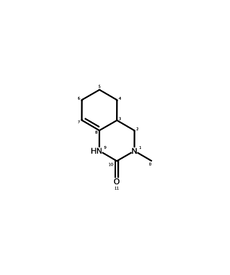 CN1CC2CCCC=C2NC1=O